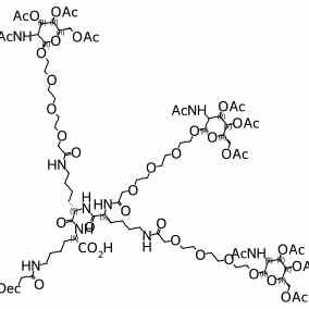 CCCCCCCCCCCC(=O)NCCCC[C@H](NC(=O)[C@H](CCCCNC(=O)COCCOCCOCCO[C@@H]1O[C@H](COC(C)=O)[C@H](OC(C)=O)[C@H](OC(C)=O)C1NC(C)=O)NC(=O)[C@H](CCCCNC(=O)COCCOCCOCCO[C@@H]1O[C@H](COC(C)=O)[C@H](OC(C)=O)[C@H](OC(C)=O)[C@H]1NC(C)=O)NC(=O)COCCOCCOCCO[C@@H]1O[C@H](COC(C)=O)[C@H](OC(C)=O)[C@H](OC(C)=O)C1NC(C)=O)C(=O)O